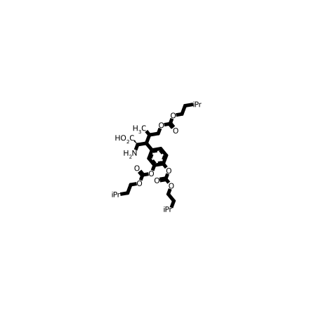 CC(C)CCOC(=O)OCC(C)C(c1ccc(OC(=O)OCCC(C)C)c(OC(=O)OCCC(C)C)c1)[C@H](N)C(=O)O